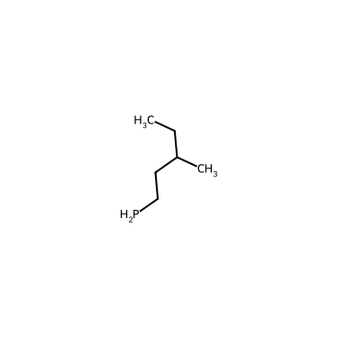 CCC(C)CCP